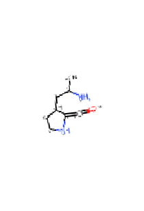 N#CC(N)C[C@@H]1CCNC1=C=O